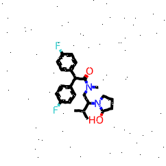 CC(C)C(CN(C)C(=O)C(c1ccc(F)cc1)c1ccc(F)cc1)N1CCCC1O